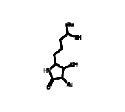 CCCCC(S)CCCC1NC(=O)C(C(C)=O)C1O